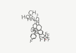 C[C@@H](O)CNC(=O)[C@@H]1CC[C@@]2(S(=O)(=O)c3ccc(F)cc3)c3ccc(C(F)(C(F)(F)F)C(F)(F)F)cc3CC[C@@H]12